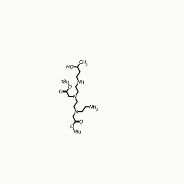 CC(O)CCNCCN(CCN(CCN)CC(=O)OC(C)(C)C)CC(=O)OC(C)(C)C